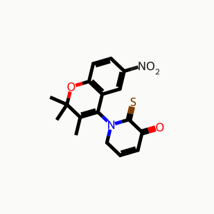 CC1=C(N2CC=CC(=O)C2=S)c2cc([N+](=O)[O-])ccc2OC1(C)C